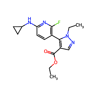 CCOC(=O)c1cnn(CC)c1-c1ccc(NC2CC2)nc1F